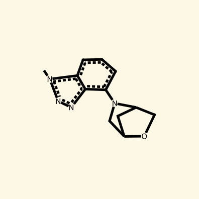 Cn1nnc2c(N3CC4CC3CO4)cccc21